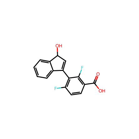 O=C(O)c1ccc(F)c(C2=CC(O)c3ccccc32)c1F